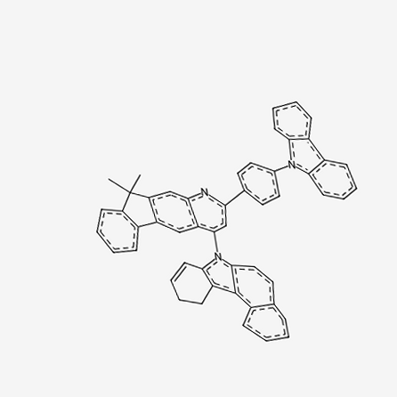 CC1(C)c2ccccc2-c2cc3c(-n4c5c(c6c7ccccc7ccc64)CCC=C5)cc(-c4ccc(-n5c6ccccc6c6ccccc65)cc4)nc3cc21